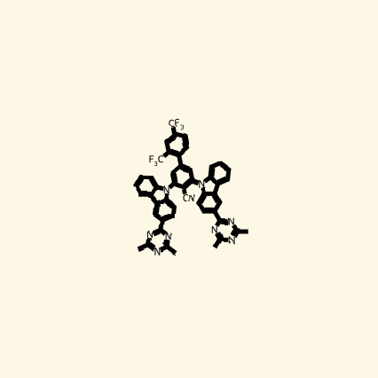 Cc1nc(C)nc(-c2ccc3c(c2)c2ccccc2n3-c2cc(-c3ccc(C(F)(F)F)cc3C(F)(F)F)cc(-n3c4ccccc4c4cc(-c5nc(C)nc(C)n5)ccc43)c2C#N)n1